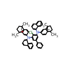 CC12CCC(C)(CC1)c1cc(N(c3cc(-c4ccccc4)cc(N(C4=CC5C(C=C4)C4(C)CCC5(C)CC4)c4cccc5ccccc45)c3Cl)c3cccc4ccccc34)ccc12